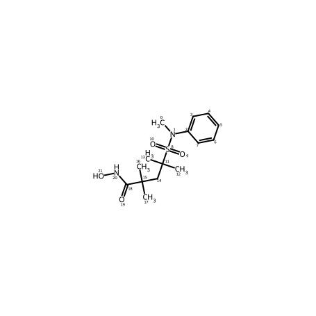 CN(c1ccccc1)S(=O)(=O)C(C)(C)CC(C)(C)C(=O)NO